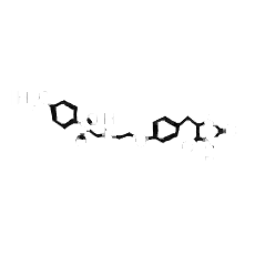 Cc1ccc(S(=O)(=O)CNCCOc2ccc(CC3SC(=O)NC3=O)cc2)cc1